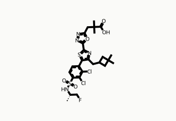 C[C@@H](CF)NS(=O)(=O)c1ccc(-c2sc(-c3nnc(CC(C)(C)C(=O)O)o3)nc2CC2CC(C)(C)C2)c(Cl)c1Cl